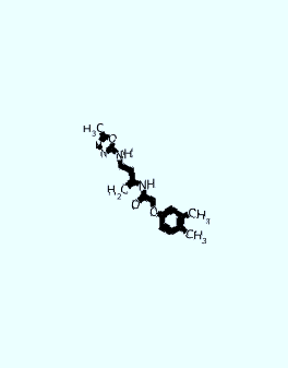 C=C(CCNc1nnc(C)o1)NC(=O)COc1ccc(C)c(C)c1